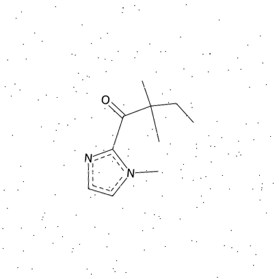 CCC(C)(C)C(=O)c1nccn1C